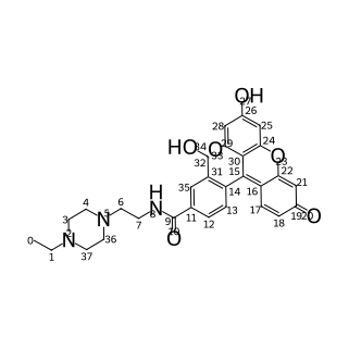 CCN1CCN(CCNC(=O)c2ccc(-c3c4ccc(=O)cc-4oc4cc(O)ccc34)c(C(=O)O)c2)CC1